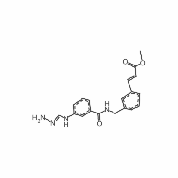 COC(=O)C=Cc1cccc(CNC(=O)c2cccc(NC=NN)c2)c1